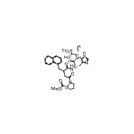 COC(=O)[C@@H]1CCCN1C(=O)CC(Cc1cccc2ccccc12)C(=O)N[C@@H](Cc1c[nH]cn1)C(=O)N[C@@H](CC(C)C)C(O)C(=O)O